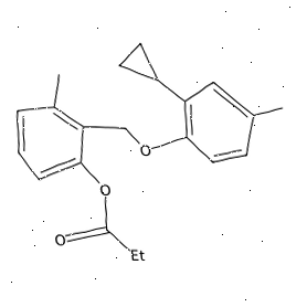 CCC(=O)Oc1cccc(C)c1COc1ccc(C)cc1C1CC1